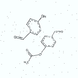 CC(=O)Oc1ccc(C=O)cc1.O=Cc1ccc(O)cc1